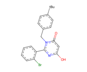 CC(C)(C)c1ccc(Cn2c(-c3ccccc3Br)nc(O)cc2=O)cc1